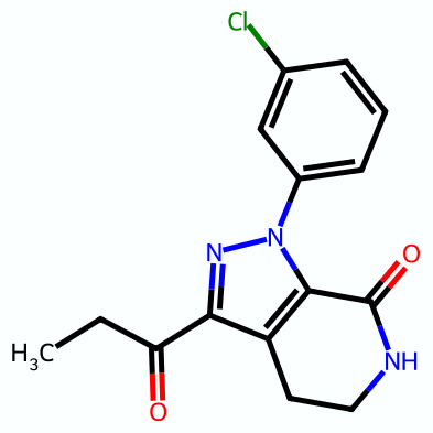 CCC(=O)c1nn(-c2cccc(Cl)c2)c2c1CCNC2=O